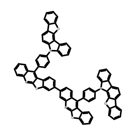 c1ccc2c(-c3ccc(-n4c5ccccc5c5c6oc7ccccc7c6ccc54)cc3)c3c(nc2c1)oc1cc(-c2ccc4c(-c5ccc(-n6c7ccccc7c7ccc8c9ccccc9oc8c76)cc5)c5c(nc4c2)oc2ccccc25)ccc13